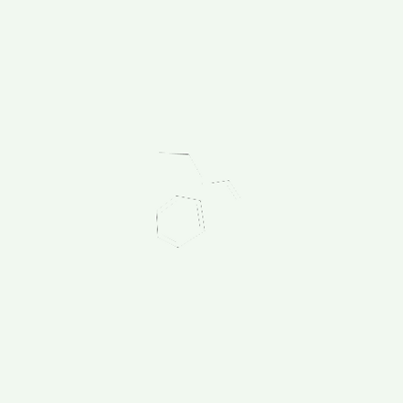 CCOC=O.c1ccccc1